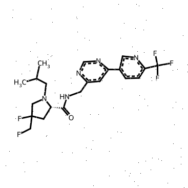 C[C](C)CN1CC(F)(CF)C[C@H]1C(=O)NCc1cc(-c2ccc(C(F)(F)F)nc2)ncn1